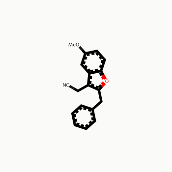 COc1ccc2oc(Cc3ccccc3)c(CC#N)c2c1